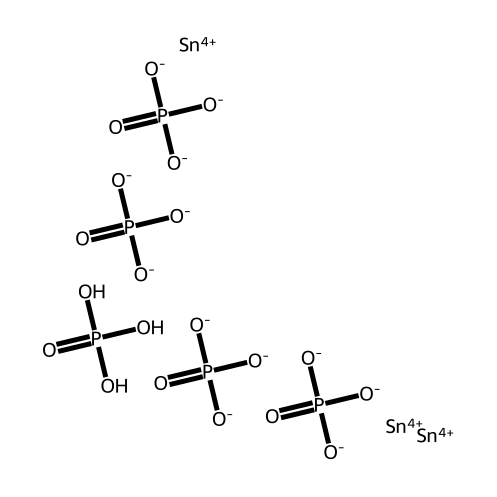 O=P(O)(O)O.O=P([O-])([O-])[O-].O=P([O-])([O-])[O-].O=P([O-])([O-])[O-].O=P([O-])([O-])[O-].[Sn+4].[Sn+4].[Sn+4]